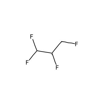 FC[C](F)C(F)F